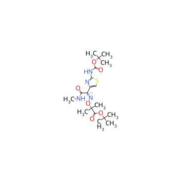 CNC(=O)/C(=N\OC(C)(C)C(=O)OC(C)(C)C)c1csc(NC(=O)OC(C)(C)C)n1